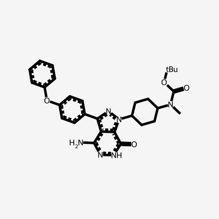 CN(C(=O)OC(C)(C)C)C1CCC(n2nc(-c3ccc(Oc4ccccc4)cc3)c3c(N)n[nH]c(=O)c32)CC1